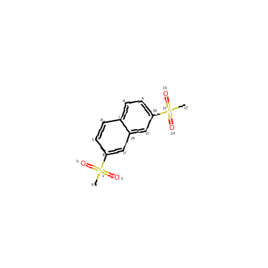 CS(=O)(=O)c1ccc2ccc(S(C)(=O)=O)cc2c1